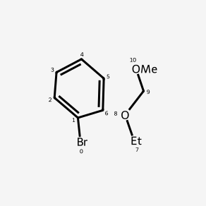 Brc1ccccc1.CCOCOC